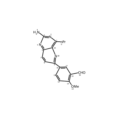 CCCc1nc(N)nc2ccc(-c3ccc(OC)c(C=O)c3)nc12